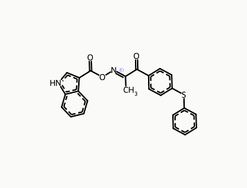 C/C(=N\OC(=O)c1c[nH]c2ccccc12)C(=O)c1ccc(Sc2ccccc2)cc1